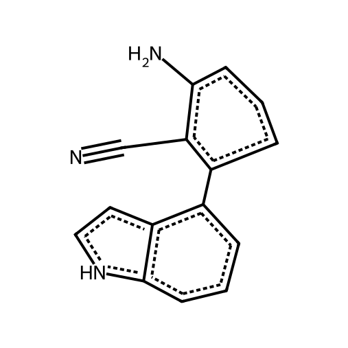 N#Cc1c(N)cccc1-c1cccc2[nH]ccc12